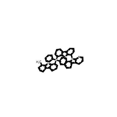 Cc1cccc2c1oc1c([Si](c3ccccc3)(c3ccccc3)c3cccc4c3sc3c(-n5c6ccccc6c6cccnc65)cccc34)cccc12